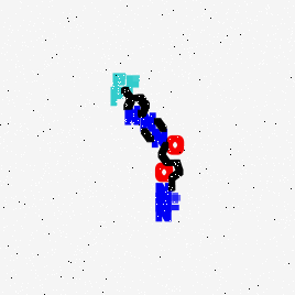 [N-]=[N+]=NCC1CCC(CC(=O)N2CCN(c3ccc(C(F)(F)F)cn3)CC2)O1